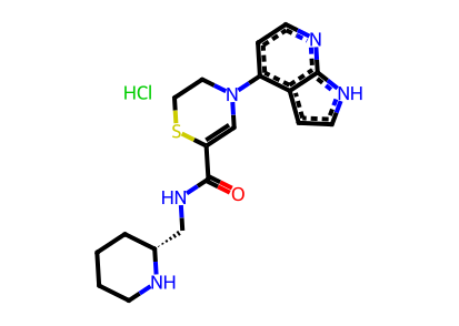 Cl.O=C(NC[C@H]1CCCCN1)C1=CN(c2ccnc3[nH]ccc23)CCS1